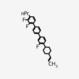 C/C=C/C1CCC(c2ccc(-c3ccc(-c4ccc(CCC)c(F)c4F)cc3)cc2F)CC1